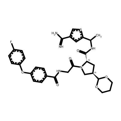 CC(NC(=O)[C@@H]1C[C@@H](C2OCCCO2)CN1C(=O)CNC(=O)c1ccc(Oc2ccc(F)cc2)cc1)c1cc(C(=N)N)cs1